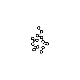 c1ccc(-c2ccc(-n3c4ccccc4c4cc(-c5ccc6c(c5)c5c(-c7cccc8c7c7ccccc7n8-c7cccc(-n8c9ccccc9c9ccccc98)n7)cccc5n6-c5cccc(-c6ccccc6)c5)ccc43)cc2)cc1